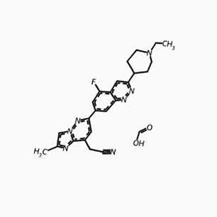 CCN1CCC(c2cc3c(F)cc(-c4cc(CC#N)c5nc(C)cn5n4)cc3nn2)CC1.O=CO